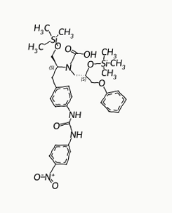 C[Si](C)(C)OC[C@H](Cc1ccc(NC(=O)Nc2ccc([N+](=O)[O-])cc2)cc1)N(C[C@@H](COc1ccccc1)O[Si](C)(C)C)C(=O)O